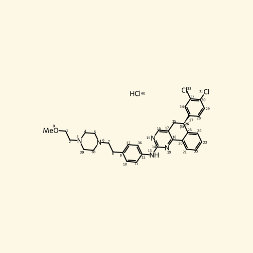 COCCN1CCN(CCc2ccc(Nc3ncc4c(n3)-c3ccccc3[C@H](c3ccc(Cl)c(Cl)c3)C4)cc2)CC1.Cl